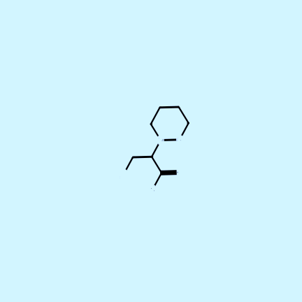 CCC(C(N)=O)N1CCCCN1